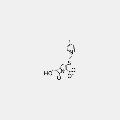 Cc1cc[n+](CCSC2=C(C(=O)[O-])N3C(=O)C([C@@H](C)O)C3C2)cc1